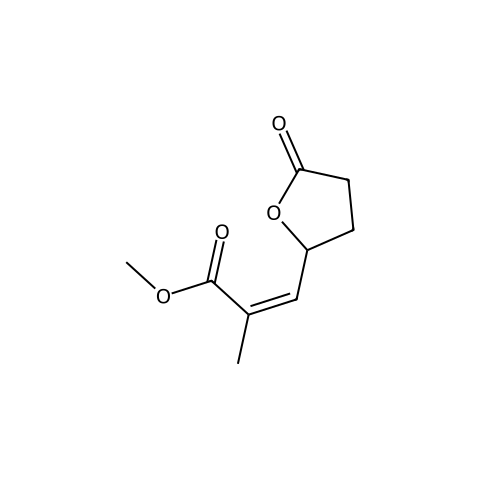 COC(=O)C(C)=CC1CCC(=O)O1